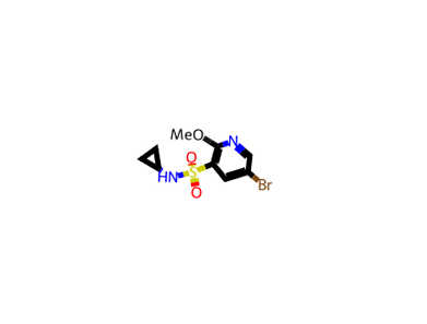 COc1ncc(Br)cc1S(=O)(=O)NC1CC1